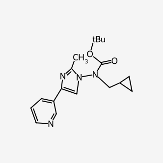 Cc1nc(-c2cccnc2)cn1N(CC1CC1)C(=O)OC(C)(C)C